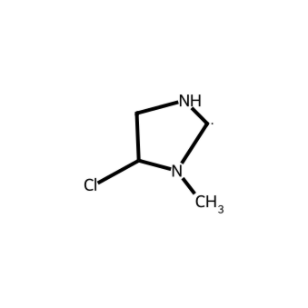 CN1[CH]NCC1Cl